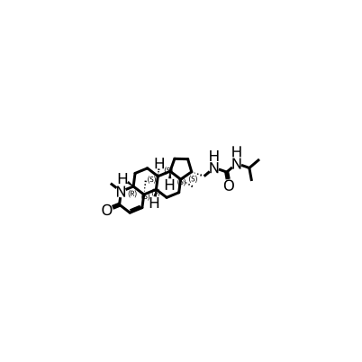 CC(C)NC(=O)NC[C@H]1CC[C@H]2[C@@H]3CC[C@H]4N(C)C(=O)C=C[C@]4(C)[C@H]3CC[C@]12C